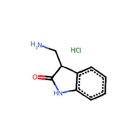 Cl.NCC1C(=O)Nc2ccccc21